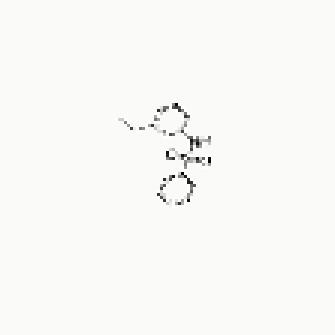 [CH2]Cc1cccc(NS(=O)(=O)c2ccccc2)c1